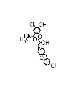 CNC(=O)c1cc(Cl)c(O)cc1OC[C@@H](O)CN1CCC2(CC1)Cc1cc(Cl)ccc1O2